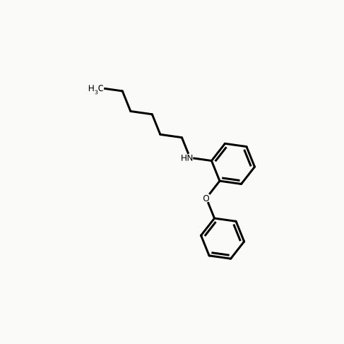 CCCCCCNc1ccccc1Oc1ccccc1